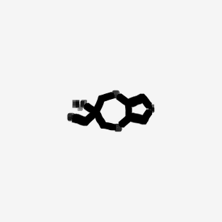 CC1(C=O)COc2cscc2OC1